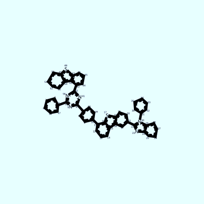 c1ccc(-c2nc(-c3ccc(-c4cccc5c4sc4ccc(-c6nc7ccccc7n6-c6ccccc6)cc45)cc3)nc(-c3cccc4sc5ccccc5c34)n2)cc1